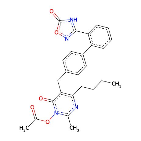 CCCCc1nc(C)n(OC(C)=O)c(=O)c1Cc1ccc(-c2ccccc2-c2noc(=O)[nH]2)cc1